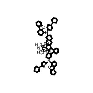 C[Si](C)(C)C1([Si](C)(C)C)c2cc3cc(N(c4ccc(-c5ccccc5)cc4)c4cccc5c4oc4ccccc45)ccc3cc2-c2c1c1ccc(N(c3ccc(-c4ccccc4)cc3)c3cccc4c3oc3ccccc34)cc1c1ccccc21